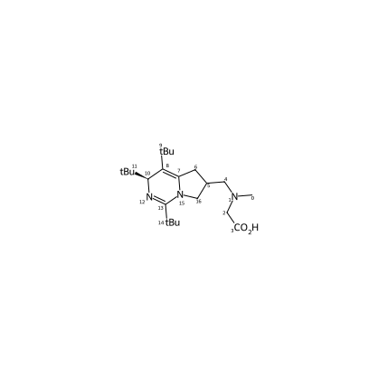 CN(CC(=O)O)CC1CC2=C(C(C)(C)C)[C@H](C(C)(C)C)N=C(C(C)(C)C)N2C1